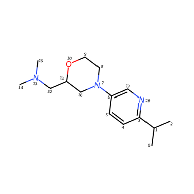 CC(C)c1ccc(N2CCOC(CN(C)C)C2)cn1